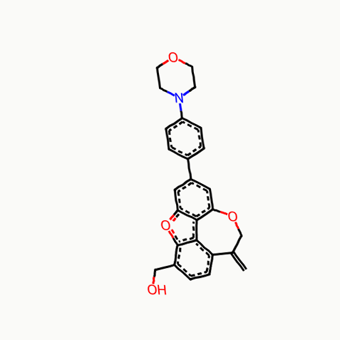 C=C1COc2cc(-c3ccc(N4CCOCC4)cc3)cc3oc4c(CO)ccc1c4c23